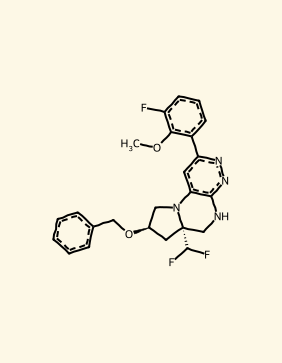 COc1c(F)cccc1-c1cc2c(nn1)NC[C@@]1(C(F)F)C[C@@H](OCc3ccccc3)CN21